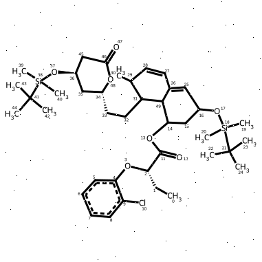 CC[C@H](Oc1ccccc1Cl)C(=O)OC1CC(O[Si](C)(C)C(C)(C)C)C=C2C=CC(C)C(CC[C@@H]3C[C@@H](O[Si](C)(C)C(C)(C)C)CC(=O)O3)C21